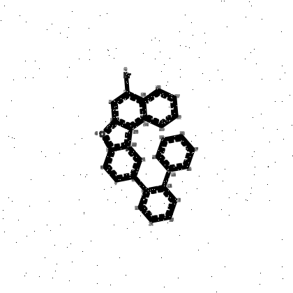 Brc1cc2oc3ccc(-c4ccccc4-c4ccccc4)cc3c2c2ccccc12